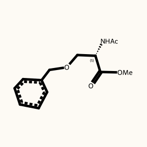 COC(=O)[C@H](COCc1ccccc1)NC(C)=O